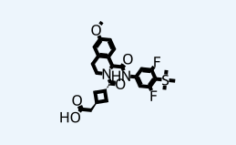 COc1ccc2c(c1)CCN(C(=O)[C@H]1C[C@H](CC(=O)O)C1)C2C(=O)Nc1cc(F)c(S(C)(C)C)c(F)c1